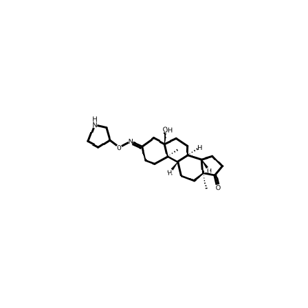 C[C@]12CC[C@H]3[C@@H](CC[C@@]4(O)C/C(=N/OC5CCNC5)CC[C@]34C)[C@@H]1CCC2=O